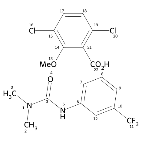 CN(C)C(=O)Nc1cccc(C(F)(F)F)c1.COc1c(Cl)ccc(Cl)c1C(=O)O